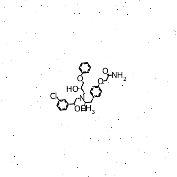 C[C@H](Cc1ccc(OCC(N)=O)cc1)N(C[C@H](O)COc1ccccc1)C[C@@H](O)c1cccc(Cl)c1